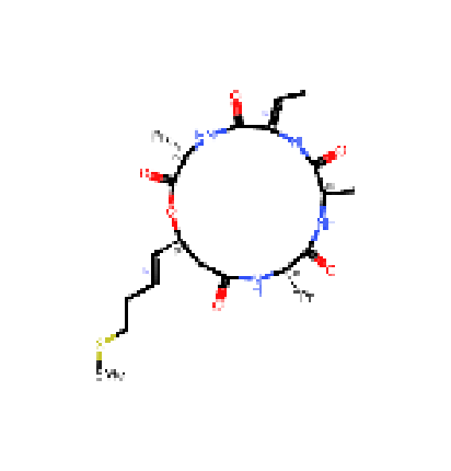 C/C=C1\NC(=O)[C@@H](C)NC(=O)[C@H](C(C)C)NC(=O)C[C@@H](/C=C/CCSSC)OC(=O)[C@H](C(C)C)NC1=O